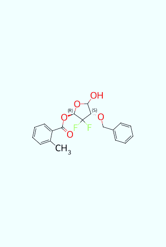 Cc1ccccc1C(=O)O[C@H]1OC(O)[C@H](OCc2ccccc2)C1(F)F